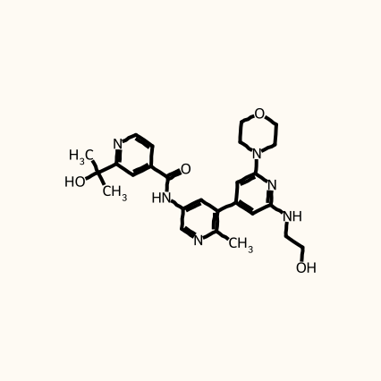 Cc1ncc(NC(=O)c2ccnc(C(C)(C)O)c2)cc1-c1cc(NCCO)nc(N2CCOCC2)c1